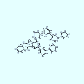 c1ccc(-c2cc(-c3ccccc3)cc(-c3cccc(-c4cccc(-c5nc(-c6ccccc6)nc6c5oc5cc7ccccc7cc56)c4)c3)c2)cc1